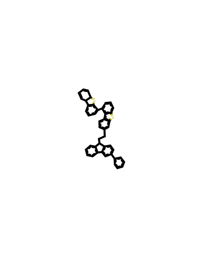 C1=CC2Sc3c(-c4cccc5sc6cc(CCC7c8ccccc8-c8cc(-c9ccccc9)ccc87)ccc6c45)cccc3C2C=C1